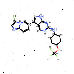 Fc1cnc2ccc(-c3c[nH]c4nc(NC5CCC(OC(F)(F)F)CC5)ncc34)cn12